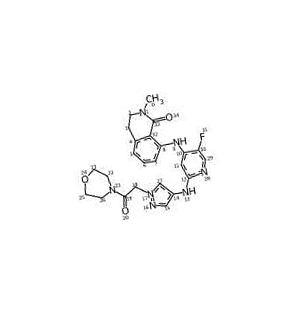 CN1CCc2cccc(Nc3cc(Nc4cnn(CC(=O)N5CCOCC5)c4)ncc3F)c2C1=O